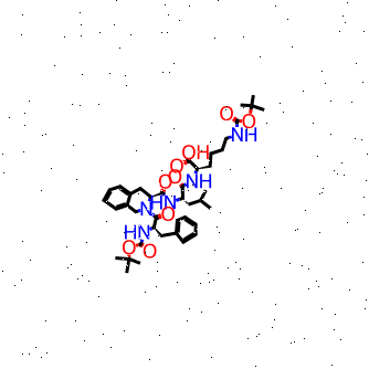 CC(C)C[C@H](NC(=O)[C@@H]1Cc2ccccc2CN1C(=O)[C@@H](Cc1ccccc1)NC(=O)OC(C)(C)C)C(=O)N[C@H](CCCCNC(=O)OC(C)(C)C)C(=O)O